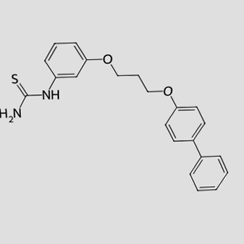 NC(=S)Nc1cccc(OCCCOc2ccc(-c3ccccc3)cc2)c1